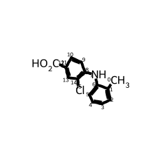 Cc1ccccc1Nc1ccc(C(=O)O)cc1Cl